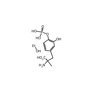 CCO.C[C@](N)(Cc1ccc(OP(=O)(O)O)c(O)c1)C(=O)O